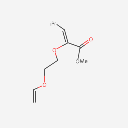 C=COCCOC(=CC(C)C)C(=O)OC